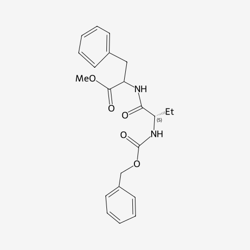 CC[C@H](NC(=O)OCc1ccccc1)C(=O)NC(Cc1ccccc1)C(=O)OC